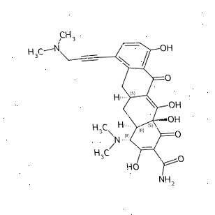 CN(C)CC#Cc1ccc(O)c2c1C[C@@H]1C[C@@H]3[C@@H](N(C)C)C(O)=C(C(N)=O)C(=O)[C@@]3(O)C(O)=C1C2=O